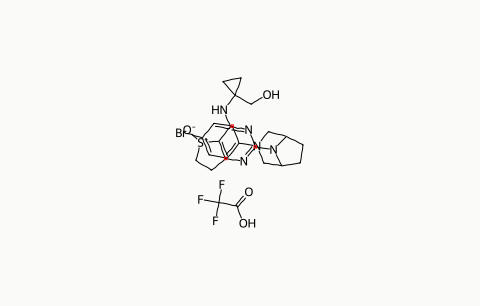 O=C(O)C(F)(F)F.[O-][S+]1CCc2nc(N3C4CCC3CN(c3ccc(Br)cc3)C4)nc(NC3(CO)CC3)c21